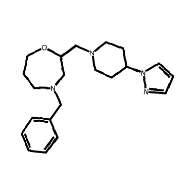 c1ccc(CN2CCCOC(CN3CCC(n4cccn4)CC3)C2)cc1